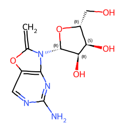 C=C1Oc2cnc(N)nc2N1[C@@H]1O[C@H](CO)[C@@H](O)[C@H]1O